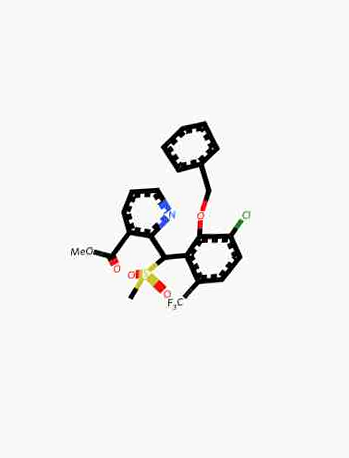 COC(=O)c1cccnc1C(c1c(C(F)(F)F)ccc(Cl)c1OCc1ccccc1)S(C)(=O)=O